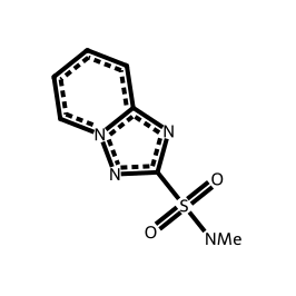 CNS(=O)(=O)c1nc2ccccn2n1